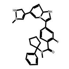 CN1C=C(C2=CN3C(c4ccc(C(=O)N(C)C5(c6ccccc6)CCCC5)c(F)c4)=CNC3C=C2)CN1